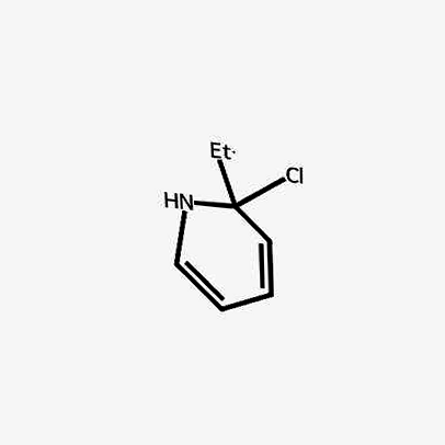 C[CH]C1(Cl)C=CC=CN1